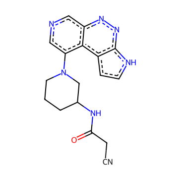 N#CCC(=O)NC1CCCN(c2cncc3nnc4[nH]ccc4c23)C1